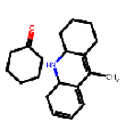 CC1=C2CCCCC2NC2CC=CC=C12.O=C1CCCCC1